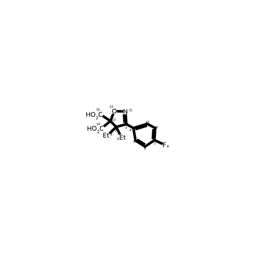 CCC1(CC)C(c2ccc(F)cc2)=NOC1(C(=O)O)C(=O)O